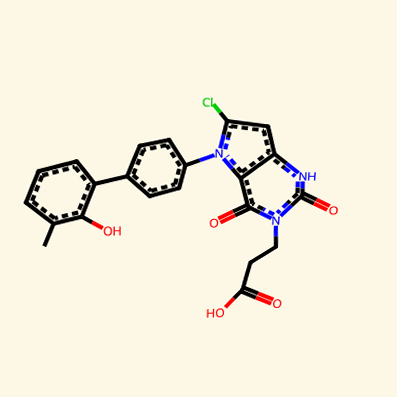 Cc1cccc(-c2ccc(-n3c(Cl)cc4[nH]c(=O)n(CCC(=O)O)c(=O)c43)cc2)c1O